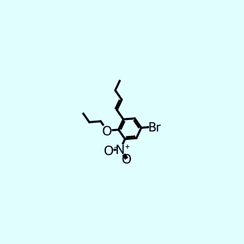 CC/C=C/c1cc(Br)cc([N+](=O)[O-])c1OCCC